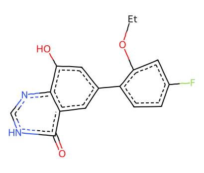 CCOc1cc(F)ccc1-c1cc(O)c2nc[nH]c(=O)c2c1